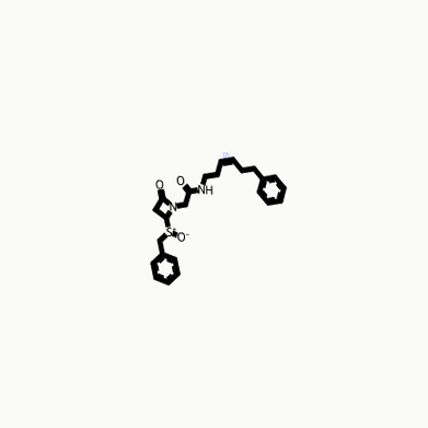 O=C(CN1C(=O)CC1[S+]([O-])Cc1ccccc1)NCC/C=C\CCc1ccccc1